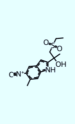 [C-]#[N+]c1cc2cc(C(C)(O)CS(=O)(=O)CC)[nH]c2cc1C